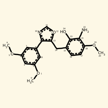 COc1cc(OC)cc(-c2ncoc2Cc2ccc(OC)c(N)c2O)c1